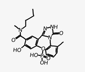 CCCCN(C)C(=O)c1cc(-c2n[nH]c(=O)n2-c2ccccc2C)c(OP(=O)(O)O)cc1O